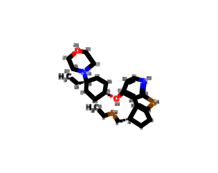 CCSC[C@H]1CCc2sc3nccc(O[C@H]4CC[C@](CC)(N5CCOCC5)CC4)c3c21